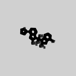 CC1=Cc2c(Br)cccc2C1C(C)(C)C1C(C)=Cc2c(-c3cccs3)cccc21